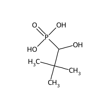 CC(C)(C)C(O)P(=O)(O)O